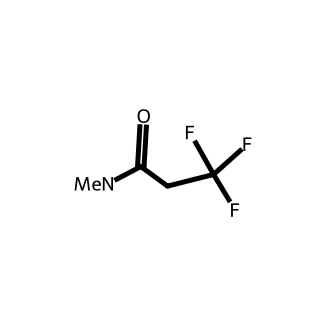 [CH2]NC(=O)CC(F)(F)F